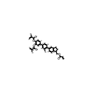 C=CC(=O)OCC1CCc2cc(-c3ccc(-c4ccc(OC(=O)C(=C)C)c(OC(=O)C(=C)C)c4)cc3C)ccc21